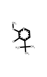 COc1nccc(C(C)(C)C)c1Cl